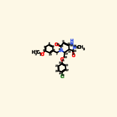 COc1cccc(CN2C(=O)C=C3NN(C)C(=O)C3C2COc2ccc(Cl)cc2)c1